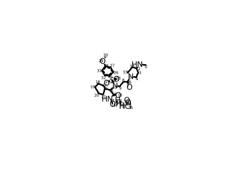 CNC1CCN(C(=O)CCN(C(C(=O)NO)C2CCCCC2)S(=O)(=O)c2ccc(OC)cc2)CC1.Cl.O.O